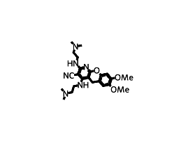 COc1cc2c(cc1OC)Oc1nc(NCCN(C)C)c(C#N)c(NCCN(C)C)c1C2